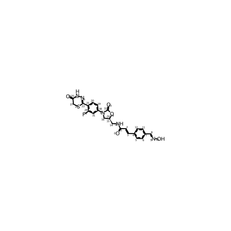 O=C(C=Cc1ccc(C=NO)cc1)NC[C@H]1CN(c2ccc(C3=NNC(=O)CS3)c(F)c2)C(=O)O1